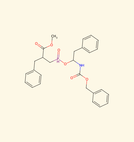 COC(=O)C(Cc1ccccc1)C[PH](=O)OC(Cc1ccccc1)NC(=O)OCc1ccccc1